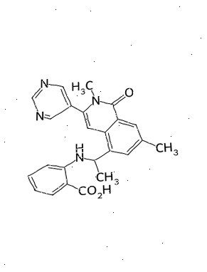 Cc1cc(C(C)Nc2ccccc2C(=O)O)c2cc(-c3cncnc3)n(C)c(=O)c2c1